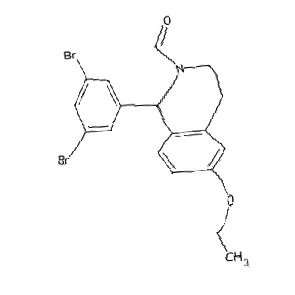 CCOc1ccc2c(c1)CCN(C=O)C2c1cc(Br)cc(Br)c1